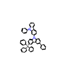 c1ccc(-c2ccc3c(c2)c2cc([Si](c4ccccc4)(c4ccccc4)c4ccccc4)ccc2n3-c2ccc3c4ccccc4n(-c4ccccc4)c3c2)cc1